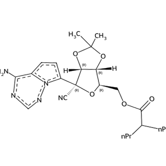 CCCC(CCC)C(=O)OC[C@H]1O[C@@](C#N)(c2ccc3c(N)ncnn23)[C@@H]2OC(C)(C)O[C@@H]21